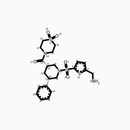 NCc1ccc(S(=O)(=O)N2C[C@@H](C(=O)N3CCS(=O)(=O)CC3)C[C@@H](c3ccccc3)C2)s1